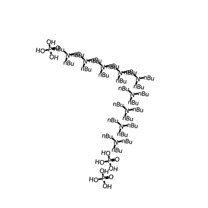 CCCCN(CCCC)CCCC.CCCCN(CCCC)CCCC.CCCCN(CCCC)CCCC.CCCCN(CCCC)CCCC.CCCCN(CCCC)CCCC.CCCCN(CCCC)CCCC.CCCCN(CCCC)CCCC.CCCCN(CCCC)CCCC.CCCCN(CCCC)CCCC.O=P(O)(O)O.O=P(O)(O)O.O=P(O)(O)O